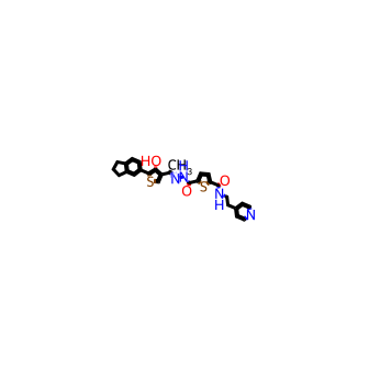 C/C(=N\NC(=O)c1ccc(C(=O)NCCc2ccncc2)s1)c1csc(-c2ccc3c(c2)CCC3)c1O